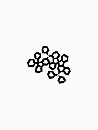 c1ccc(N(c2ccc3c(c2)C(c2ccccc2)(c2ccccc2)c2ccccc2-3)c2cccc3c2-c2ccccc2C32c3ccccc3-c3c2cc(N(c2ccccc2)c2ccccc2)c2ccccc32)cc1